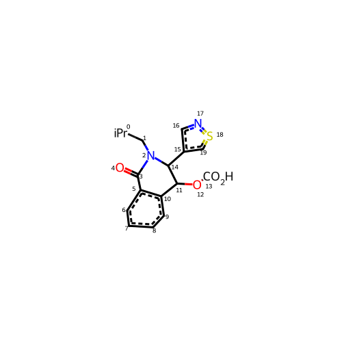 CC(C)CN1C(=O)c2ccccc2C(OC(=O)O)C1c1cnsc1